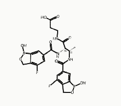 C[C@H](NC(=O)c1cc(F)c2c(c1)B(O)OC2)[C@H](NC(=O)c1cc(F)c2c(c1)B(O)OC2)C(=O)NCCC(=O)O